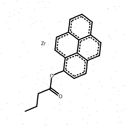 CCCC(=O)Oc1ccc2ccc3cccc4ccc1c2c34.[Zr]